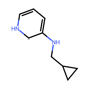 [C]1NC=CC=C1NCC1CC1